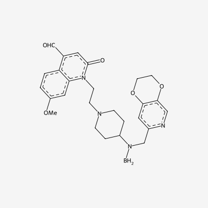 BN(Cc1cc2c(cn1)OCCO2)C1CCN(CCn2c(=O)cc(C=O)c3ccc(OC)cc32)CC1